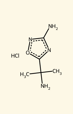 CC(C)(N)c1nc(N)no1.Cl